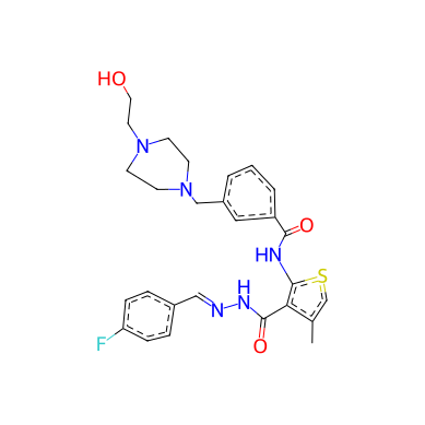 Cc1csc(NC(=O)c2cccc(CN3CCN(CCO)CC3)c2)c1C(=O)NN=Cc1ccc(F)cc1